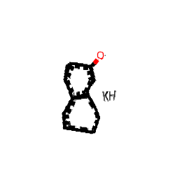 [KH].[O]c1ccc2ccccc2c1